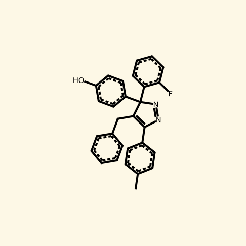 Cc1ccc(C2=C(Cc3ccccc3)C(c3ccc(O)cc3)(c3ccccc3F)N=N2)cc1